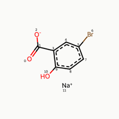 O=C([O-])c1cc(Br)ccc1O.[Na+]